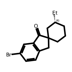 CC[C@@H]1CCCC2(Cc3ccc(Br)cc3C2=O)C1